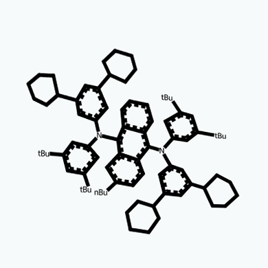 CCCCc1ccc2c(N(c3cc(C4CCCCC4)cc(C4CCCCC4)c3)c3cc(C(C)(C)C)cc(C(C)(C)C)c3)c3ccccc3c(N(c3cc(C4CCCCC4)cc(C4CCCCC4)c3)c3cc(C(C)(C)C)cc(C(C)(C)C)c3)c2c1